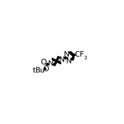 CC(C)(C)OC(=O)N1CC2(C1)CN(c1ncc(C(F)(F)F)cn1)C2